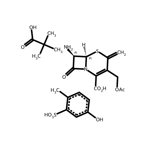 C=C1S[C@@H]2[C@H](N)C(=O)N2C(C(=O)O)=C1COC(C)=O.CC(C)(C)C(=O)O.Cc1ccc(O)cc1S(=O)(=O)O